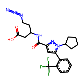 [N-]=[N+]=NCCC(CC(=O)O)NC(=O)c1cc(-c2ccccc2C(F)(F)F)n(C2CCCC2)n1